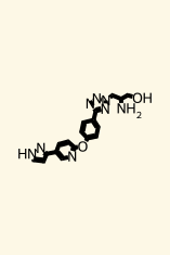 NC(CO)Cn1nnc(-c2ccc(Oc3ccc(-c4cc[nH]n4)cn3)cc2)n1